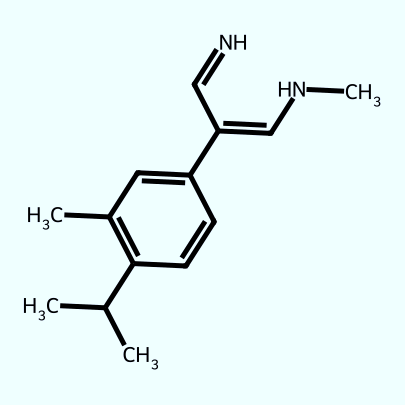 CN/C=C(\C=N)c1ccc(C(C)C)c(C)c1